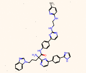 NC(CCCn1cnc2ccccc21)(C(=O)Nc1ccc(-c2ccnc(NCCNc3ccc([N+](=O)[O-])cn3)n2)cc1)c1nccc(-c2ccc(-c3ncc[nH]3)cc2)n1